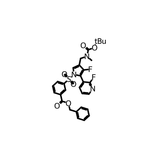 CN(Cc1cn(S(=O)(=O)c2cccc(C(=O)OCc3ccccc3)c2)c(-c2cccnc2F)c1F)C(=O)OC(C)(C)C